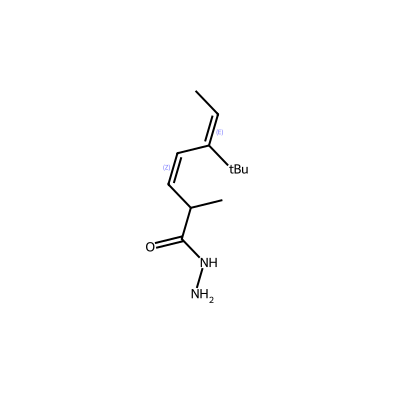 C/C=C(\C=C/C(C)C(=O)NN)C(C)(C)C